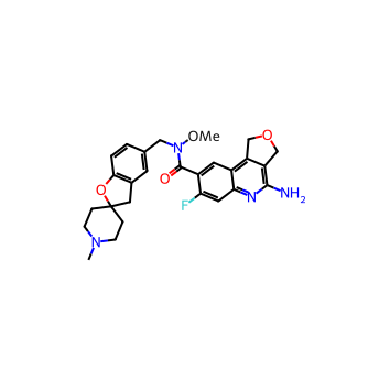 CON(Cc1ccc2c(c1)CC1(CCN(C)CC1)O2)C(=O)c1cc2c3c(c(N)nc2cc1F)COC3